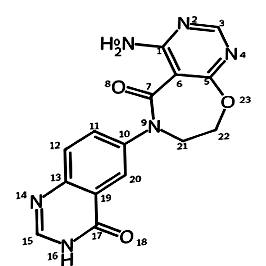 Nc1ncnc2c1C(=O)N(c1ccc3nc[nH]c(=O)c3c1)CCO2